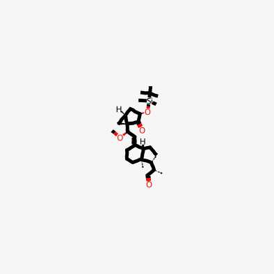 CO[C@H](/C=C1\CCC[C@]2(C)[C@@H]([C@H](C)C=O)CC[C@@H]12)[C@]12C[C@H]1C[C@H](O[Si](C)(C)C(C)(C)C)C2=O